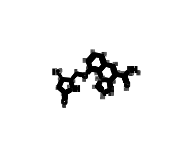 CC[C@H]1CC(=O)N[C@@H]1COc1cccc2cc(C(N)=O)c3nncn3c12